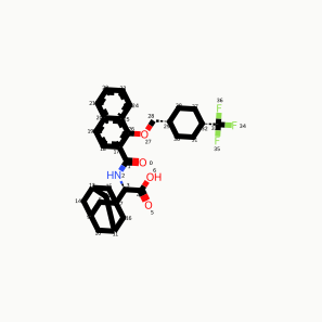 O=C(N[C@H](C(=O)O)C12CC3CC(CC(C3)C1)C2)c1ccc2ccccc2c1OC[C@H]1CC[C@@H](C(F)(F)F)CC1